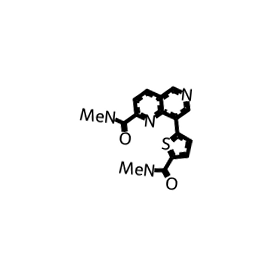 CNC(=O)c1ccc2cncc(-c3ccc(C(=O)NC)s3)c2n1